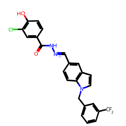 O=C(N/N=C/c1ccc2c(ccn2Cc2cccc(C(F)(F)F)c2)c1)c1ccc(O)c(Cl)c1